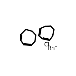 C1=CCCCCC=C1.C1=CCCCCC=C1.[Cl-].[Rh+]